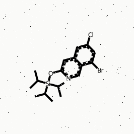 CC(C)[Si](Oc1cc2cc(Cl)cc(Br)c2cn1)(C(C)C)C(C)C